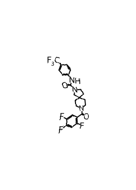 O=C(Nc1ccc(C(F)(F)F)cc1)N1CCC2(CCN(C(=O)c3cc(F)c(F)cc3F)CC2)C1